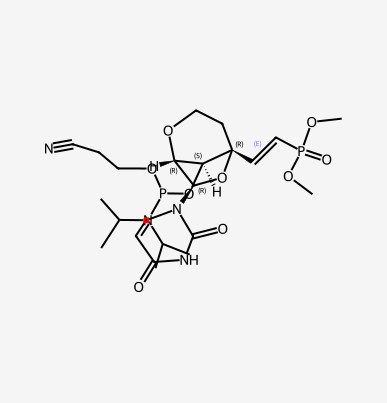 COP(=O)(/C=C/[C@@]12CCO[C@@H]([C@H](n3ccc(=O)[nH]c3=O)O1)[C@@H]2OP(OCCC#N)N(C(C)C)C(C)C)OC